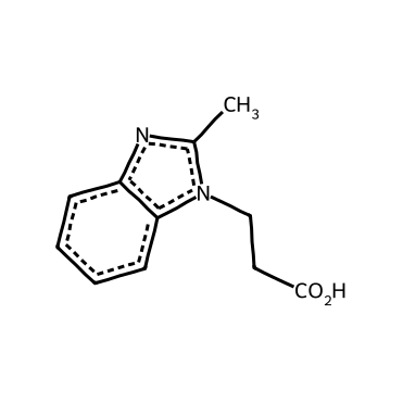 Cc1nc2ccccc2n1CCC(=O)O